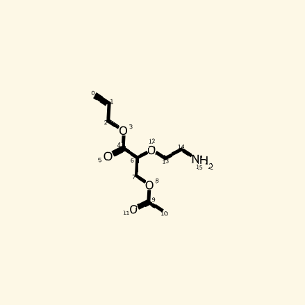 C=CCOC(=O)C(COC(C)=O)OCCN